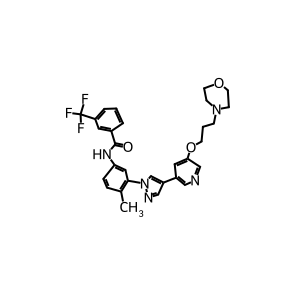 Cc1ccc(NC(=O)c2cccc(C(F)(F)F)c2)cc1-n1cc(-c2cncc(OCCCN3CCOCC3)c2)cn1